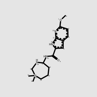 COc1ccc2cc(C(=O)NC3CCC[Si](C)(C)CN3)[nH]c2n1